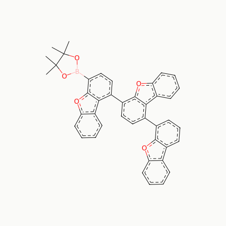 CC1(C)OB(c2ccc(-c3ccc(-c4cccc5c4oc4ccccc45)c4c3oc3ccccc34)c3c2oc2ccccc23)OC1(C)C